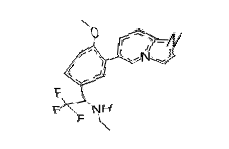 CCN[C@@H](c1ccc(OC)c(-c2ccc3nccn3c2)c1)C(F)(F)F